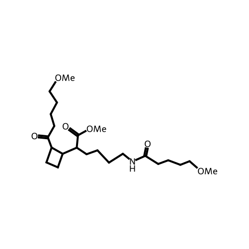 COCCCCC(=O)NCCCCC(C(=O)OC)C1CCC1C(=O)CCCCOC